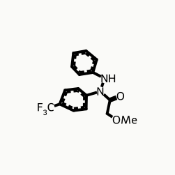 COCC(=O)N(Nc1ccccc1)c1ccc(C(F)(F)F)cc1